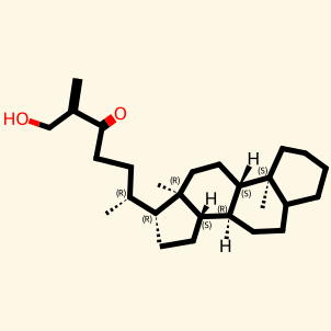 C=C(CO)C(=O)CC[C@@H](C)[C@H]1CC[C@H]2[C@@H]3CCC4CCCC[C@]4(C)[C@H]3CC[C@]12C